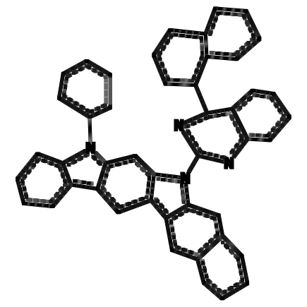 c1ccc(-n2c3ccccc3c3cc4c5cc6ccccc6cc5n(-c5nc(-c6cccc7ccccc67)c6ccccc6n5)c4cc32)cc1